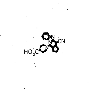 N#Cc1c2c(c(N3CCC(C(=O)O)CC3)n3c1nc1ccccc13)CCC2